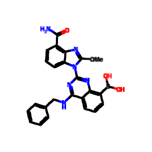 COc1nc2c(C(N)=O)cccc2n1-c1nc(NCc2ccccc2)c2cccc(B(O)O)c2n1